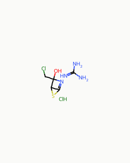 Cl.N=C(N)N.OC1(CCl)N=C2SC21